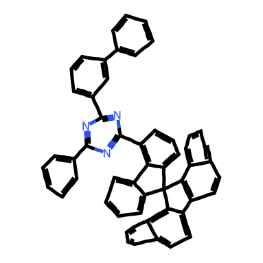 c1ccc(-c2cccc(-c3nc(-c4ccccc4)nc(-c4cccc5c4-c4ccccc4C54c5c(ccc6ccccc56)-c5ccc6ccccc6c54)n3)c2)cc1